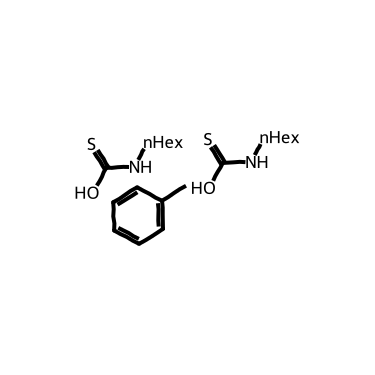 CCCCCCNC(O)=S.CCCCCCNC(O)=S.Cc1ccccc1